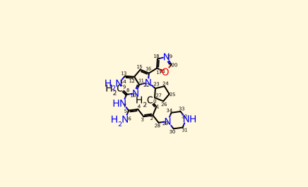 C=C/C(=C\C=C(/N)NC(=C)/N=C1\C(=C/N)C=C(c2cnco2)N1C1CCCC1)CN1CCNCC1